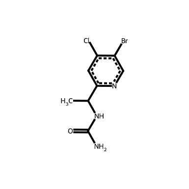 CC(NC(N)=O)c1cc(Cl)c(Br)cn1